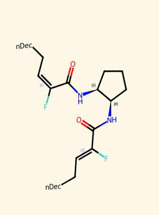 CCCCCCCCCCC/C=C(\F)C(=O)N[C@@H]1CCC[C@@H]1NC(=O)/C(F)=C\CCCCCCCCCCC